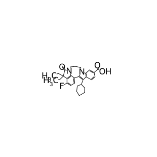 CCC1(CC)C(=O)N2CCCn3c(c(C4CCCCC4)c4ccc(C(=O)O)cc43)-c3ccc(F)c1c32